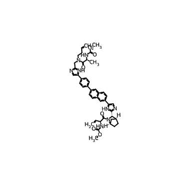 C=CCCN(Cc1ncc(-c2ccc(-c3ccc4cc(-c5cnc([C@@H]6[C@H]7CC[C@H](C7)N6C(=O)[C@H](C=C)NC(=O)OC)[nH]5)ccc4c3)cc2)[nH]1)C(=O)[C@H](C)NC(=O)OC